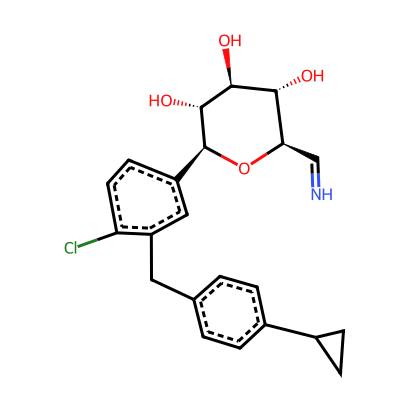 N=C[C@H]1O[C@@H](c2ccc(Cl)c(Cc3ccc(C4CC4)cc3)c2)[C@H](O)[C@@H](O)[C@@H]1O